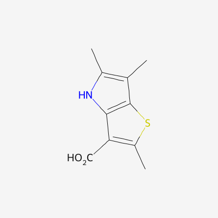 Cc1[nH]c2c(C(=O)O)c(C)sc2c1C